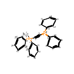 C[PH](C#CP(c1ccccc1)c1ccccc1)(c1ccccc1)c1ccccc1